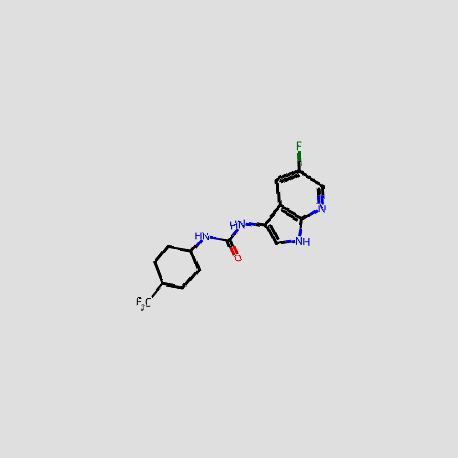 O=C(Nc1c[nH]c2ncc(F)cc12)NC1CCC(C(F)(F)F)CC1